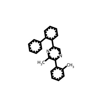 Cc1ccccc1-c1ncc(-c2ccccc2-c2ccccc2)nc1C